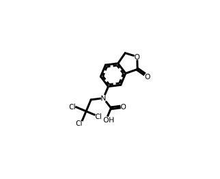 O=C1OCc2ccc(N(CC(Cl)(Cl)Cl)C(=O)O)cc21